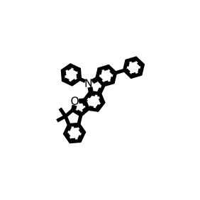 CC1(C)c2ccccc2-c2c1oc1c2ccc2c3cc(-c4ccccc4)ccc3n(-c3ccccc3)c21